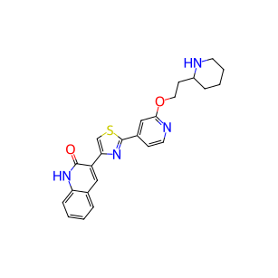 O=c1[nH]c2ccccc2cc1-c1csc(-c2ccnc(OCCC3CCCCN3)c2)n1